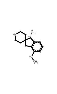 COc1cccc2c1CC1(CCNCC1)[C@@H]2N